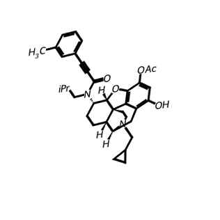 CC(=O)Oc1cc(O)c2c3c1O[C@H]1[C@@H](N(CC(C)C)C(=O)C#Cc4cccc(C)c4)CC[C@H]4[C@@H](C2)N(CC2CC2)CC[C@@]341